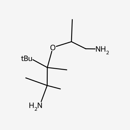 CC(CN)OC(C)(C(C)(C)C)C(C)(C)N